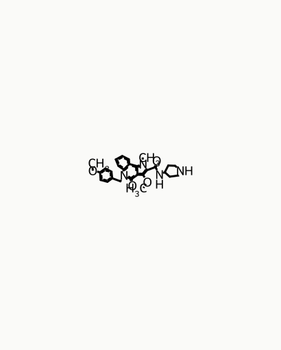 COc1ccc(Cn2c(=O)c3c(OC)c(C(=O)NC4CCNCC4)n(C)c3c3ccccc32)cc1